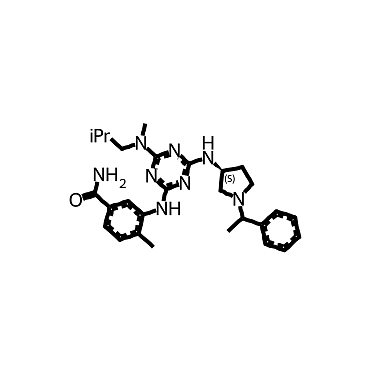 Cc1ccc(C(N)=O)cc1Nc1nc(N[C@H]2CCN(C(C)c3ccccc3)C2)nc(N(C)CC(C)C)n1